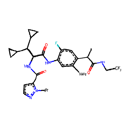 CNc1cc(NC(=O)C(NC(=O)c2ccnn2C(C)C)C(C2CC2)C2CC2)c(F)cc1C(C)C(=O)NCC(F)(F)F